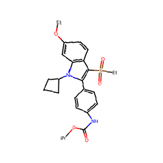 CCOc1ccc2c(S(=O)(=O)CC)c(-c3ccc(NC(=O)OC(C)C)cc3)n(C3CCC3)c2c1